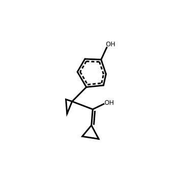 OC(=C1CC1)C1(c2ccc(O)cc2)CC1